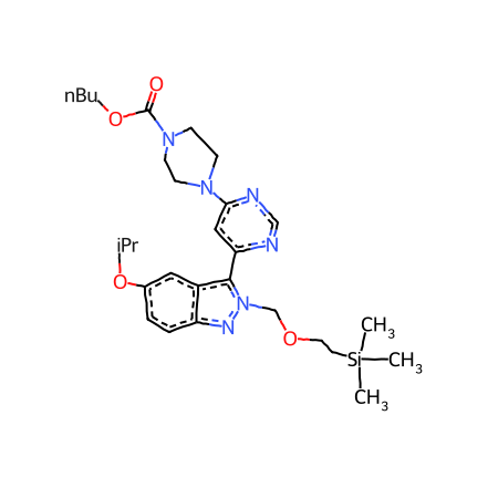 CCCCOC(=O)N1CCN(c2cc(-c3c4cc(OC(C)C)ccc4nn3COCC[Si](C)(C)C)ncn2)CC1